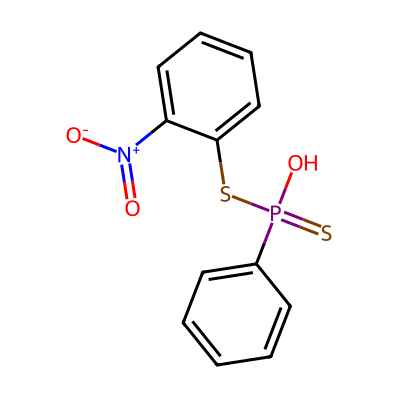 O=[N+]([O-])c1ccccc1SP(O)(=S)c1ccccc1